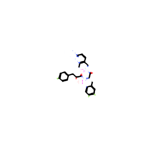 Cc1nc(N)ccc1CNC(=O)[C@H](Cc1ccc(F)c(F)c1)NC(=O)C(O)Cc1ccc(F)cc1